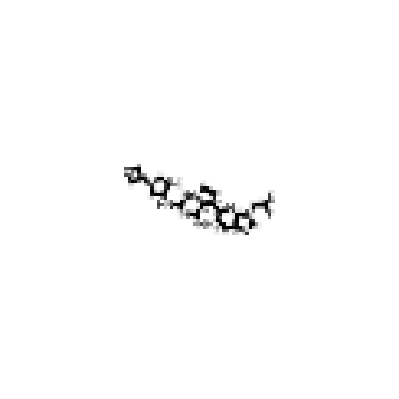 Nc1nc(N[C@@H]2CN(C3COC3)C[C@@H]2F)nn2ccc(-c3ccc4ncn(CC(F)F)c4n3)c12